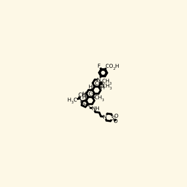 C=C(C)[C@@H]1CC[C@]2(CNCCCN3CCS(=O)(=O)CC3)CC[C@]3(C)[C@H](CC[C@@H]4[C@@]5(C)CCN(c6ccc(C(=O)O)c(F)c6)C(C)(C)[C@@H]5CC[C@]43C)[C@@H]12